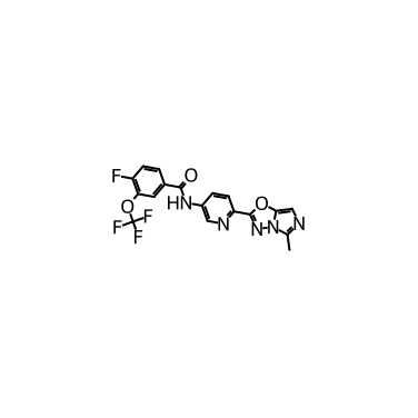 Cc1ncc2oc(-c3ccc(NC(=O)c4ccc(F)c(OC(F)(F)F)c4)cn3)nn12